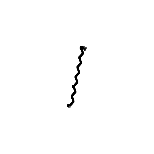 [CH2]CCCCCCCOCCCCl